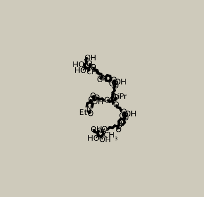 CCC(=O)N1CCC(OP(=O)(O)OCCCOCC(COCCCOP(=O)(O)OC2CCN(C(=O)CCCCO[C@@H]3OC(CO)[C@H](O)[C@H](O)C3C)CC2)(COCCCOP(=O)(O)OC2CCN(C(=O)CCCCO[C@@H]3OC(CO)[C@H](O)[C@H](O)C3C)CC2)COC(C)C)CC1